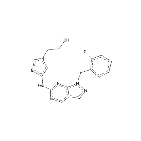 OCCn1cnc(Nc2ncc3cnn(Cc4ccccc4F)c3n2)c1